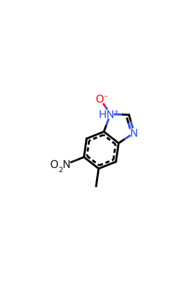 Cc1cc2c(cc1[N+](=O)[O-])[NH+]([O-])C=N2